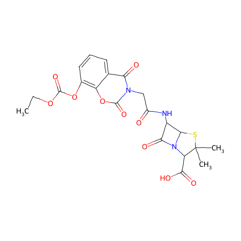 CCOC(=O)Oc1cccc2c(=O)n(CC(=O)NC3C(=O)N4C3SC(C)(C)C4C(=O)O)c(=O)oc12